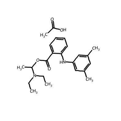 CC(=O)O.CCN(CC)C(C)OC(=O)c1ccccc1Nc1cc(C)cc(C)c1